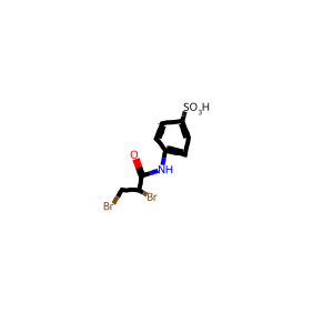 O=C(Nc1c[c]c(S(=O)(=O)O)cc1)C(Br)CBr